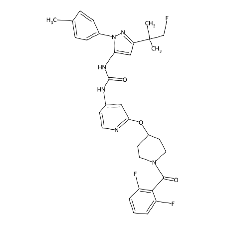 Cc1ccc(-n2nc(C(C)(C)CF)cc2NC(=O)Nc2ccnc(OC3CCN(C(=O)c4c(F)cccc4F)CC3)c2)cc1